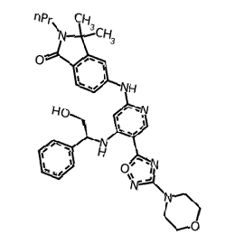 CCCN1C(=O)c2ccc(Nc3cc(N[C@H](CO)c4ccccc4)c(-c4nc(N5CCOCC5)no4)cn3)cc2C1(C)C